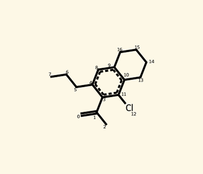 C=C(C)c1c(CCC)cc2c(c1Cl)CCCC2